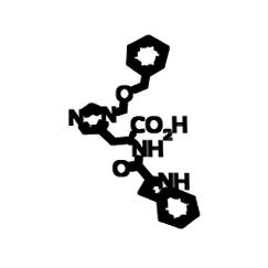 O=C(N[C@@H](Cc1cncn1COCc1ccccc1)C(=O)O)c1cc2ccccc2[nH]1